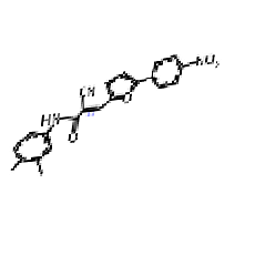 Cc1ccc(NC(=O)/C(C#N)=C/c2ccc(-c3ccc([N+](=O)[O-])cc3)o2)cc1C